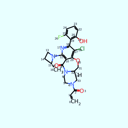 C=CC(=O)N1CCN2C(=O)c3c(N4CC[C@@H]4C)nc(-c4c(O)cccc4F)c(Cl)c3OC[C@H]2C1